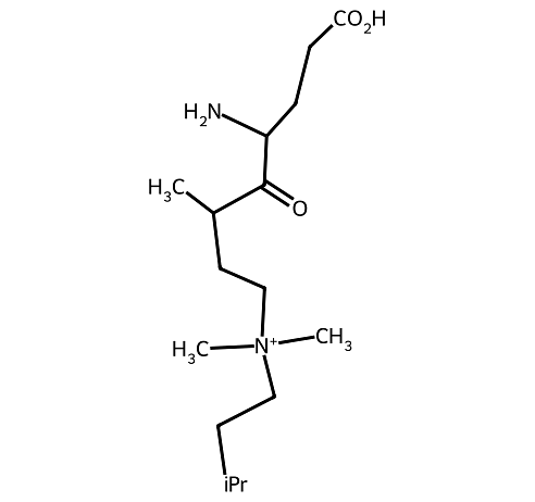 CC(C)CC[N+](C)(C)CCC(C)C(=O)C(N)CCC(=O)O